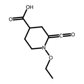 CCON1CCC(C(=O)O)CC1=C=O